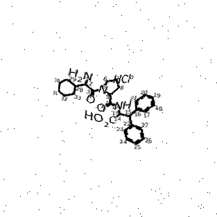 Cl.NC(C(=O)N1CCCC1C(=O)NC(C(=O)O)C(c1ccccc1)c1ccccc1)C1CCCCC1